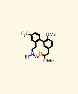 CCN(CCc1cc(C(F)(F)F)ccc1-c1cc(CC(=O)OC)ccc1OC)C(C)=O